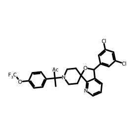 CC(=O)C(C)(c1ccc(OC(F)(F)F)cc1)N1CCC2(CC1)OC(c1cc(Cl)cc(Cl)c1)c1cccnc12